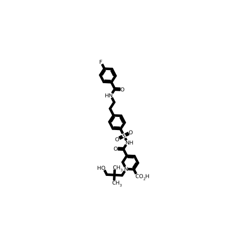 CC(C)(CO)CN1CC(C(=O)NS(=O)(=O)c2ccc(CCNC(=O)c3ccc(F)cc3)cc2)=CC=C1C(=O)O